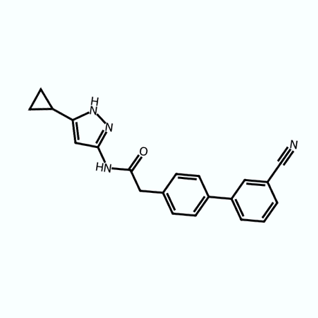 N#Cc1cccc(-c2ccc(CC(=O)Nc3cc(C4CC4)[nH]n3)cc2)c1